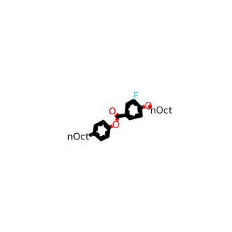 CCCCCCCCOc1ccc(C(=O)Oc2ccc(CCCCCCCC)cc2)cc1F